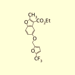 CCOC(=O)c1c(C)oc2ccc(OCc3ccc(C(F)(F)F)o3)cc12